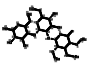 CCCCOC1[C@H](OCCCC)C(C)O[C@@H](O[C@H]2C(O)[C@@H](O)C(CO)O[C@H]2O[C@@H]2C(CO)OC(O)[C@@H](O)C2O)[C@H]1OCCCC